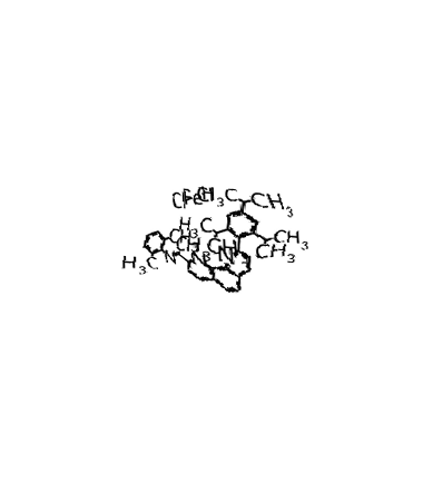 CC(=Nc1c(C)cccc1C)c1ccc2ccc3ccc(-c4c(C(C)C)cc(C(C)C)cc4C(C)C)nc3c2n1.[Cl][Fe][Cl]